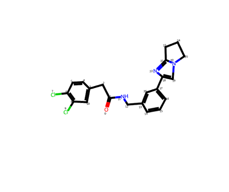 O=C(Cc1ccc(Cl)c(Cl)c1)NCc1cccc(-c2cn3c(n2)CCC3)c1